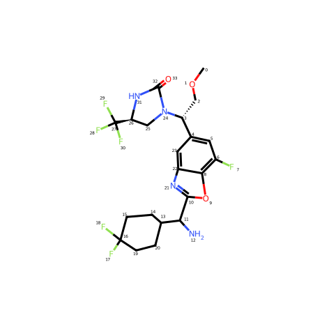 COC[C@H](c1cc(F)c2oc(C(N)C3CCC(F)(F)CC3)nc2c1)N1C[C@@H](C(F)(F)F)NC1=O